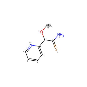 CCCCOC(C(N)=S)c1ccccn1